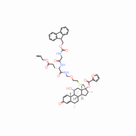 C=CCOC(=O)CC[C@H](NC(=O)CNC(=O)OCC1c2ccccc2-c2ccccc21)C(=O)NCOCCSC[C@@]1(OC(=O)c2ccco2)[C@H](C)C[C@H]2[C@@H]3C[C@H](F)C4=CC(=O)C=C[C@]4(C)[C@@]3(F)[C@@H](O)C[C@@]21C